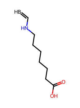 B=CNCCCCCCC(=O)O